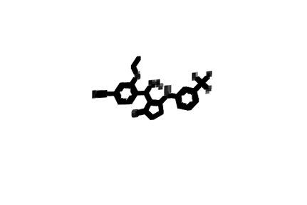 CCSc1cc(C#N)ccc1C(N)C1=C(Nc2cccc(C(F)(F)F)c2)CCC1=O